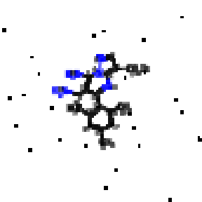 CCOC(=O)c1cnn2c(N)c(CN)c(-c3c(C)cc(C)cc3C)nc12